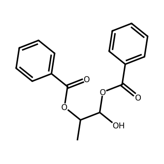 CC(OC(=O)c1ccccc1)C(O)OC(=O)c1ccccc1